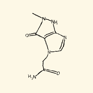 Cn1[nH]c2ncn(CC(N)=O)c2c1=O